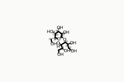 OC[C@@H](O)[C@@H](O)[C@H](O[C@H]1O[C@H](CO)[C@@H](O)[C@H](O)[C@H]1O)[C@@H](O)CO